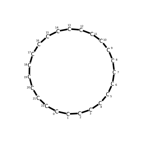 [CH]1CCCCCCCCC[CH]CCCCCCCCCCCC1